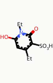 CCc1cc(O)n(CC)c(=O)c1S(=O)(=O)O